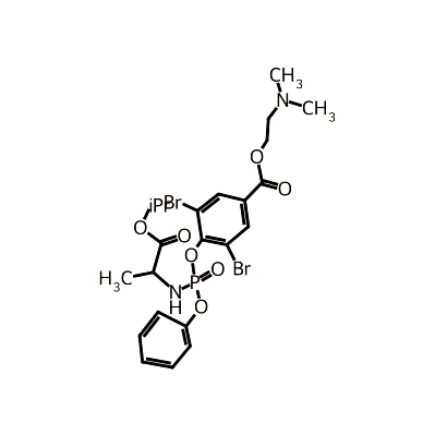 CC(C)OC(=O)C(C)NP(=O)(Oc1ccccc1)Oc1c(Br)cc(C(=O)OCCN(C)C)cc1Br